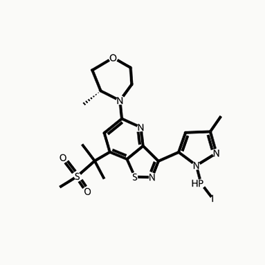 Cc1cc(-c2nsc3c(C(C)(C)S(C)(=O)=O)cc(N4CCOC[C@H]4C)nc23)n(PI)n1